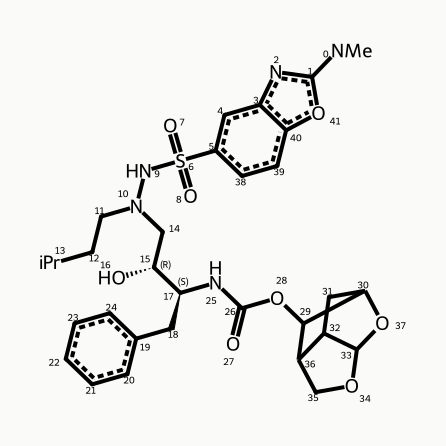 CNc1nc2cc(S(=O)(=O)NN(CCC(C)C)C[C@@H](O)[C@H](Cc3ccccc3)NC(=O)OC3C4CC5C(OCC53)O4)ccc2o1